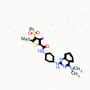 CSc1sc(C(=O)N[C@H]2CC[C@@H](Nc3nc(N(C)C)c4ccccc4n3)CC2)c(I)c1S(=O)(=O)C(C)C